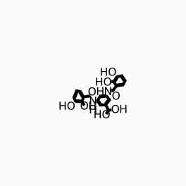 O=C(Nc1cc(NC(=O)c2cccc(O)c2O)cc(C(O)O)c1)c1cccc(O)c1O